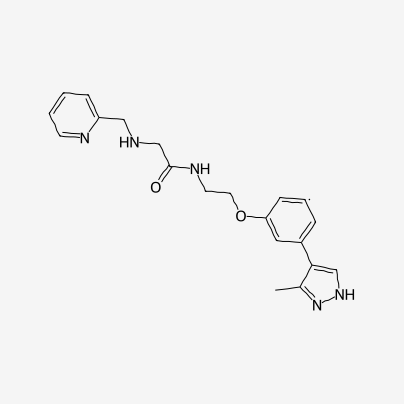 Cc1n[nH]cc1-c1c[c]cc(OCCNC(=O)CNCc2ccccn2)c1